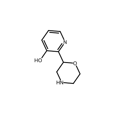 Oc1cccnc1C1CNCCO1